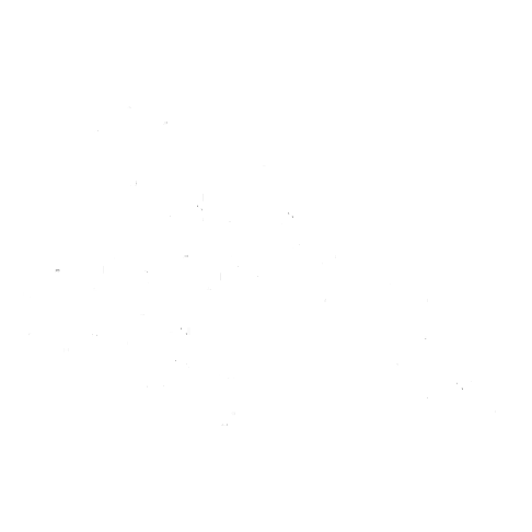 CC(C)[C@H](NC(=O)OCc1ccc(CN(C)C)cc1)C(=O)NC(Cc1ccccc1)C(O)C(O)C(Cc1ccccc1)NC(=O)OC(C)(C)C